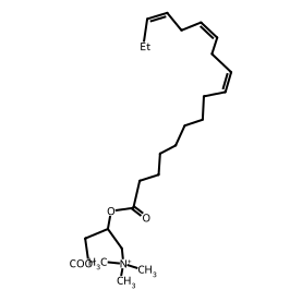 CC/C=C\C/C=C\C/C=C\CCCCCCCC(=O)OC(CC(=O)[O-])C[N+](C)(C)C